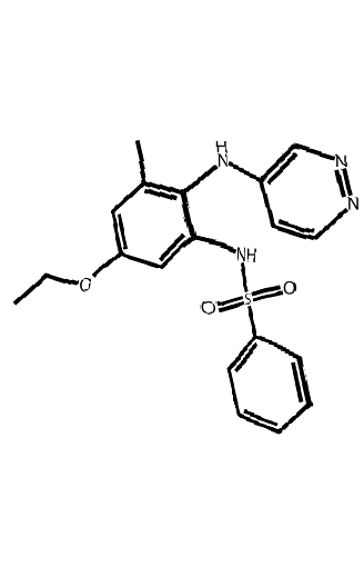 CCOc1cc(C)c(Nc2ccnnc2)c(NS(=O)(=O)c2ccccc2)c1